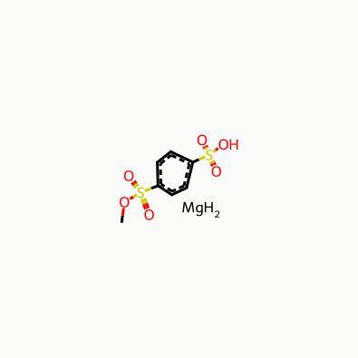 COS(=O)(=O)c1ccc(S(=O)(=O)O)cc1.[MgH2]